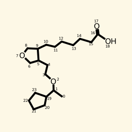 CC(OCCC1COCC1CCCCCCC(=O)O)C1CCCC1